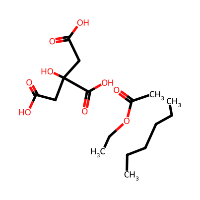 CCCCCC.CCOC(C)=O.O=C(O)CC(O)(CC(=O)O)C(=O)O